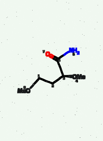 COCC[C@H](OC)C(N)=O